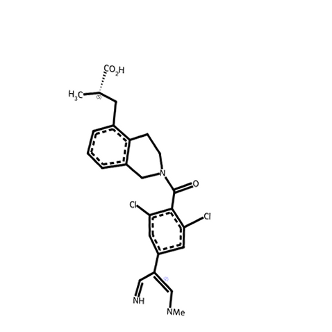 CN/C=C(\C=N)c1cc(Cl)c(C(=O)N2CCc3c(C[C@H](C)C(=O)O)cccc3C2)c(Cl)c1